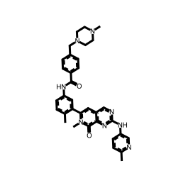 Cc1ccc(Nc2ncc3cc(-c4cc(NC(=O)c5ccc(CN6CCN(C)CC6)cc5)ccc4C)n(C)c(=O)c3n2)cn1